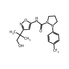 CC(C)(CO)c1cc(NC(=O)N2CCCN2c2ccc(C(F)(F)F)cc2)on1